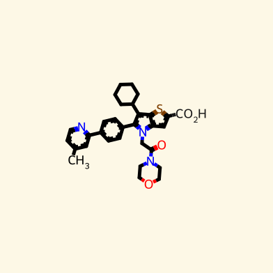 Cc1ccnc(-c2ccc(-c3c(C4CCCCC4)c4sc(C(=O)O)cc4n3CC(=O)N3CCOCC3)cc2)c1